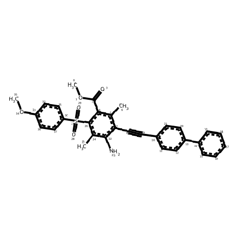 COC(=O)c1c(C)c(C#Cc2ccc(-c3ccccc3)cc2)c(N)c(C)c1S(=O)(=O)c1ccc(OC)cc1